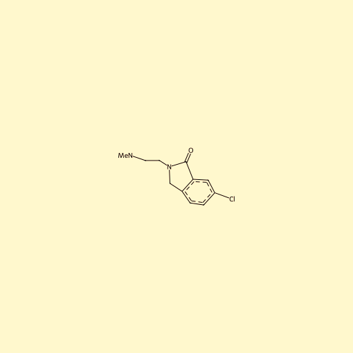 CNCCN1Cc2ccc(Cl)cc2C1=O